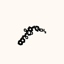 CN1CCN(Cc2ccc3c(c2)OCCN(CC(=O)CN2CCc4ccccc4C2)C3=O)CC1